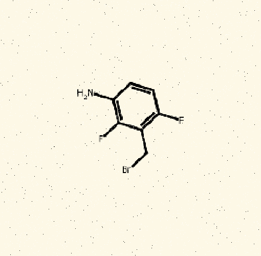 Nc1ccc(F)c(CBr)c1F